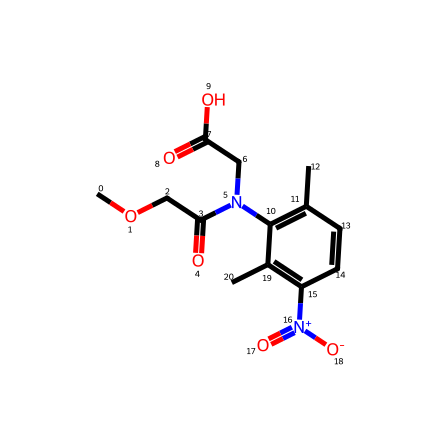 COCC(=O)N(CC(=O)O)c1c(C)ccc([N+](=O)[O-])c1C